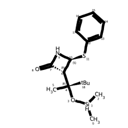 C[SiH](C)O[C@](C)([C@@H]1C(=O)N[C@H]1Sc1ccccc1)C(C)(C)C